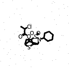 CC(Cl)C(=O)OC1C2CC3C(S2)C1N(C1CCCCC1)S3(=O)=O